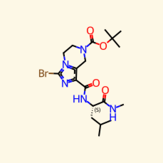 CNC(=O)[C@H](CC(C)C)NC(=O)c1nc(Br)n2c1CN(C(=O)OC(C)(C)C)CC2